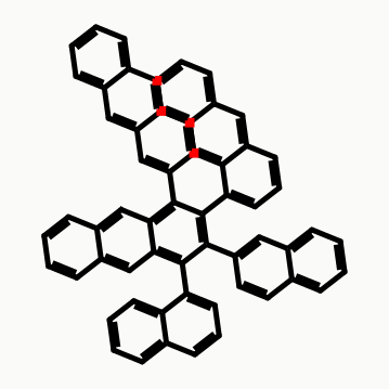 [c]1c2ccccc2cc2c(-c3cccc4ccccc34)c(-c3ccc4ccccc4c3)c(-c3cccc4cc5ccccc5cc34)c(-c3ccc4cc5ccccc5cc4c3)c12